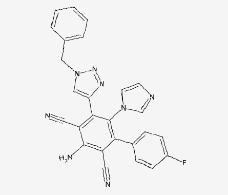 N#Cc1c(N)c(C#N)c(-c2cn(Cc3ccccc3)nn2)c(-n2ccnc2)c1-c1ccc(F)cc1